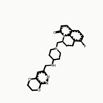 O=c1ccc2ccc(F)c3c2n1C(CN1CCC(NCc2cc4c(nn2)OCCO4)CC1)CC3